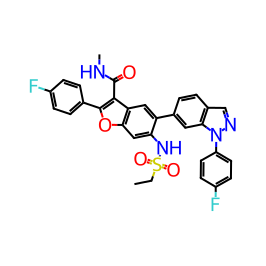 CCS(=O)(=O)Nc1cc2oc(-c3ccc(F)cc3)c(C(=O)NC)c2cc1-c1ccc2cnn(-c3ccc(F)cc3)c2c1